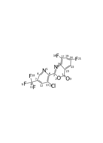 O=c1oc(-c2ncc(C(F)(F)F)cc2Cl)nc2c(F)cc(F)cc12